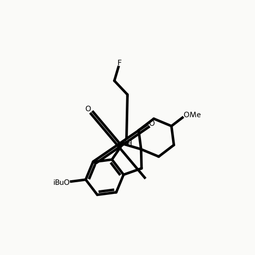 COC1CCC2(CC1)Cc1ccc(OCC(C)C)cc1C21NC(=O)N(CCF)C1=O